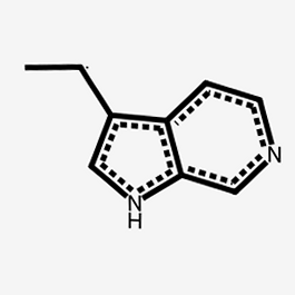 C[CH]c1c[nH]c2cnccc12